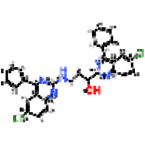 OC(CCNc1nc(-c2ccccc2)c2cc(Cl)ccc2n1)c1nc(-c2ccccc2)c2cc(Cl)ccc2n1